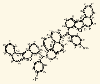 Fc1ccc(N(c2ccc3ccc4c(N(c5ccc(F)cc5)c5cccc6c5oc5ccc7ccccc7c56)ccc5ccc2c3c54)c2cccc3c2oc2ccc4ccccc4c23)cc1